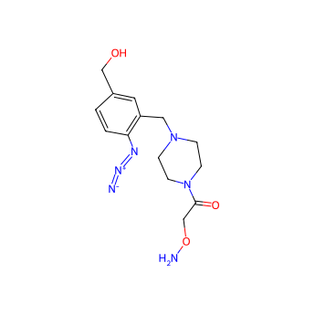 [N-]=[N+]=Nc1ccc(CO)cc1CN1CCN(C(=O)CON)CC1